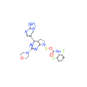 Nc1ncc(-c2nc(N3CCOCC3)nc3c2CCN3SOC(=O)Nc2c(F)cccc2F)cn1